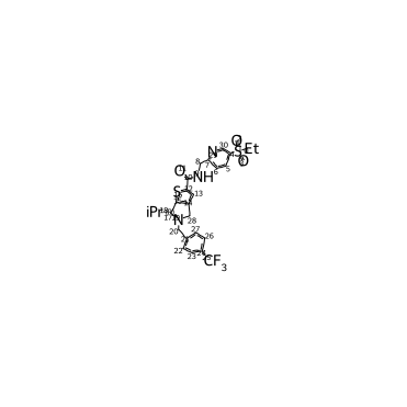 CCS(=O)(=O)c1ccc(CNC(=O)c2cc3c(s2)[C@@H](C(C)C)N(Cc2ccc(C(F)(F)F)cc2)C3)nc1